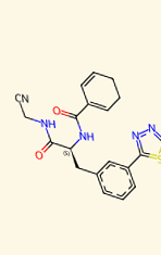 N#CCNC(=O)[C@H](Cc1cccc(-c2nncs2)c1)NC(=O)C1=CCCC=C1